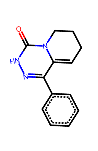 O=C1NN=C(c2ccccc2)C2=CCCCN12